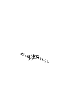 CCCCCCCCCOc1cnc(-c2ccc(CCCCCCC)c(F)c2F)nc1